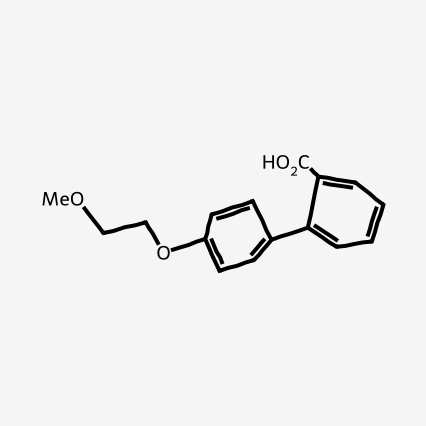 COCCOc1ccc(-c2ccccc2C(=O)O)cc1